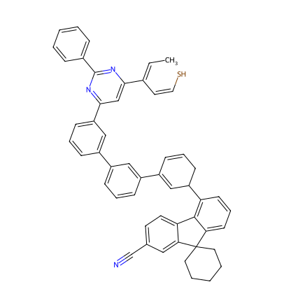 C/C=C(\C=C/S)c1cc(-c2cccc(-c3cccc(C4=CC(c5cccc6c5-c5ccc(C#N)cc5C65CCCCC5)CC=C4)c3)c2)nc(-c2ccccc2)n1